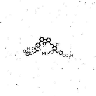 N#CCCOc1cc(/C=C/c2cccc(-c3cccc(-c4ccn5c(=O)c(CNCC6CCC(=O)N6)cnc5c4)c3Cl)c2Cl)c(Cl)cc1CN1CCC(C(=O)O)C1